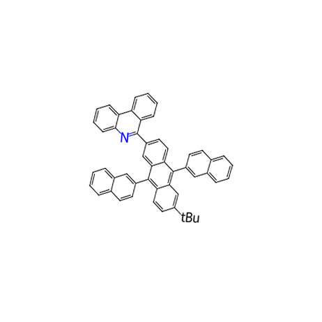 CC(C)(C)c1ccc2c(-c3ccc4ccccc4c3)c3cc(-c4nc5ccccc5c5ccccc45)ccc3c(-c3ccc4ccccc4c3)c2c1